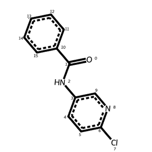 O=C(Nc1ccc(Cl)nc1)c1cc[c]cc1